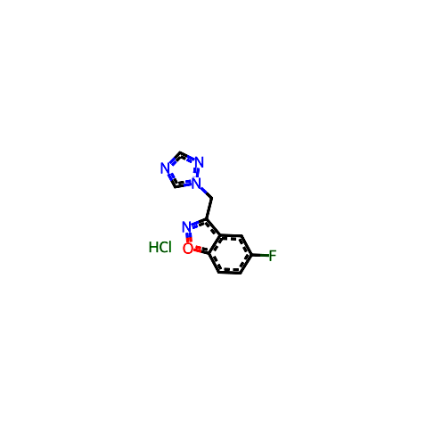 Cl.Fc1ccc2onc(Cn3cncn3)c2c1